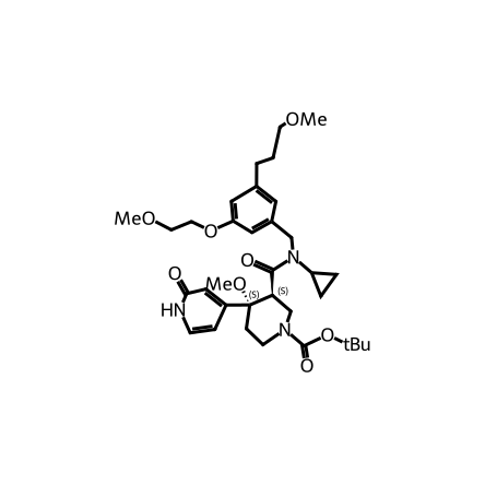 COCCCc1cc(CN(C(=O)[C@H]2CN(C(=O)OC(C)(C)C)CC[C@@]2(OC)c2cc[nH]c(=O)c2)C2CC2)cc(OCCOC)c1